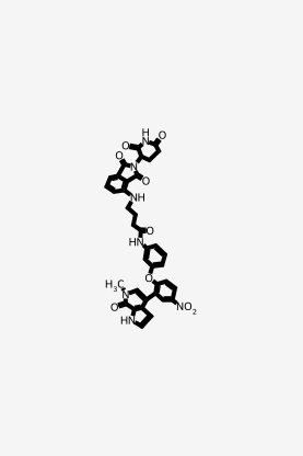 Cn1cc(-c2cc([N+](=O)[O-])ccc2Oc2cccc(NC(=O)CCCNc3cccc4c3C(=O)N(C3CCC(=O)NC3=O)C4=O)c2)c2cc[nH]c2c1=O